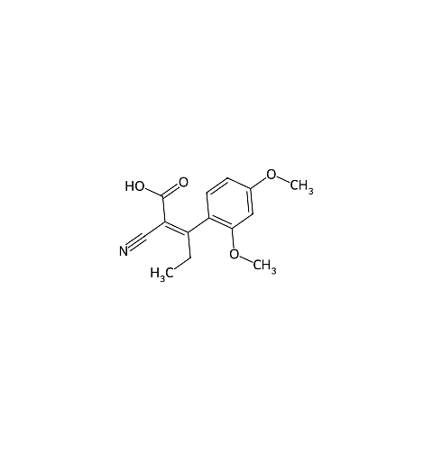 CCC(=C(C#N)C(=O)O)c1ccc(OC)cc1OC